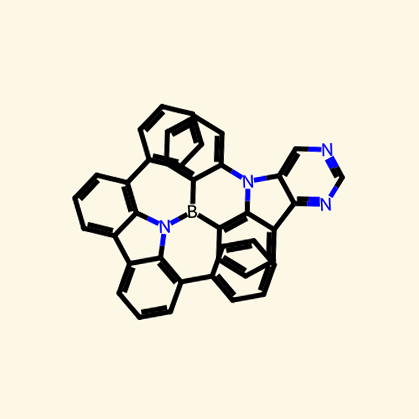 c1ccc(-c2cccc3c4cccc(-c5ccccc5)c4n(B4c5ccccc5-n5c6cncnc6c6cccc4c65)c23)cc1